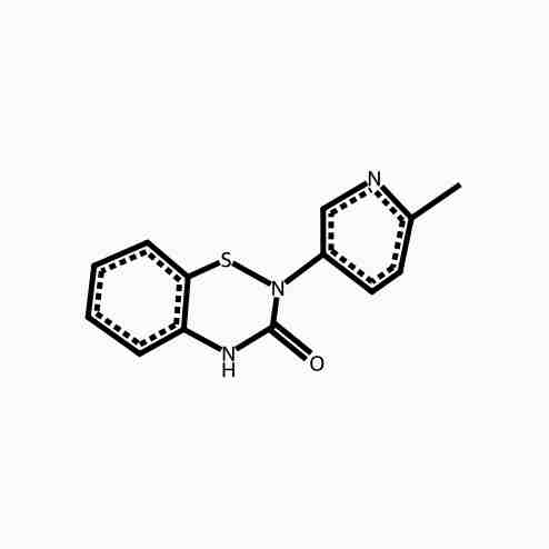 Cc1ccc(N2Sc3ccccc3NC2=O)cn1